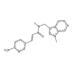 CN(Cc1cn(C)c2cnccc12)C(=O)C=Cc1ccc(N)nc1